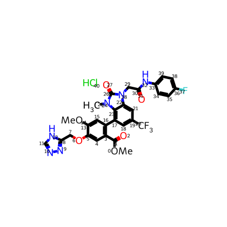 COC(=O)c1cc(OCc2nnc[nH]2)c(OC)cc1-c1cc(C(F)(F)F)cc2c1n(C)c(=O)n2CC(=O)Nc1ccc(F)cc1.Cl